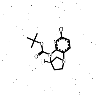 CC(C)(C)OC(=O)N1c2nc(Cl)ccc2N2CC[C@H]1C2